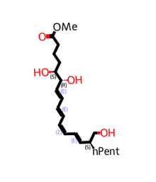 CCCCC[C@@H](/C=C/C=C\C=C\C=C\[C@@H](O)[C@@H](O)CCCC(=O)OC)CO